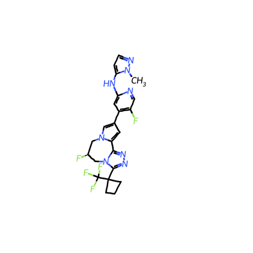 Cn1nccc1Nc1cc(-c2cc3n(c2)C[C@H](F)Cn2c-3nnc2C2(C(F)(F)F)CCC2)c(F)cn1